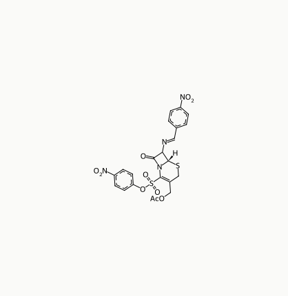 CC(=O)OCC1=C(S(=O)(=O)Oc2ccc([N+](=O)[O-])cc2)N2C(=O)C(N=Cc3ccc([N+](=O)[O-])cc3)[C@@H]2SC1